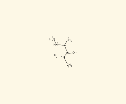 COC(=O)C(C)NN.Cl